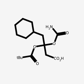 CC(C)(C)C(=O)OC(CC(=O)O)(CC1CCCCC1)OC(N)=O